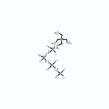 CC[N+](CC)(CC)CC.F[B-](F)(F)F.F[B-](F)(F)F.F[B-](F)(F)F.F[B-](F)(F)F